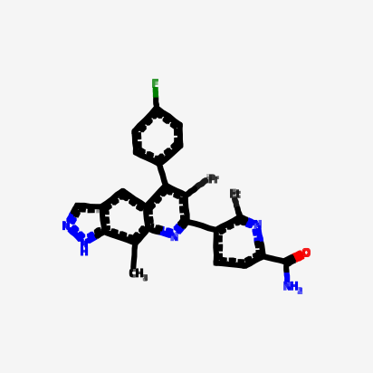 CCc1nc(C(N)=O)ccc1-c1nc2c(C)c3[nH]ncc3cc2c(-c2ccc(F)cc2)c1C(C)C